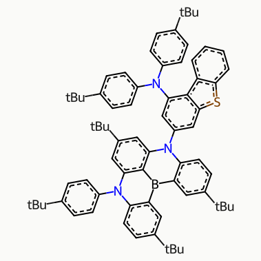 CC(C)(C)c1ccc(N2c3ccc(C(C)(C)C)cc3B3c4cc(C(C)(C)C)ccc4N(c4cc(N(c5ccc(C(C)(C)C)cc5)c5ccc(C(C)(C)C)cc5)c5c(c4)sc4ccccc45)c4cc(C(C)(C)C)cc2c43)cc1